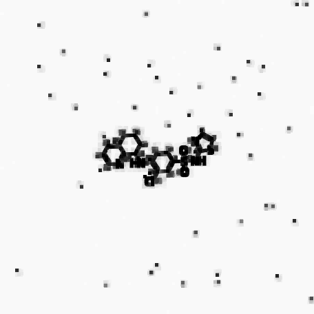 O=S(=O)(Nc1nccs1)c1ccc(NC2CCCc3cccnc32)c(Cl)c1